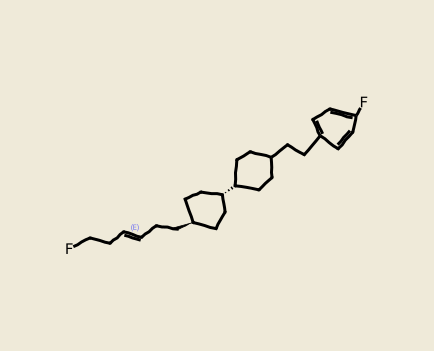 FCC/C=C/CC[C@H]1CC[C@H](C2CCC(CCc3ccc(F)cc3)CC2)CC1